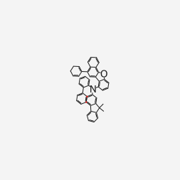 CC1(C)c2ccccc2-c2ccc(N(c3ccccc3-c3ccccc3)c3cccc4oc5c6ccccc6c(C6=CCCC=C6)cc5c34)cc21